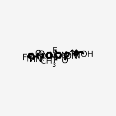 C[C@H](NC(=O)c1ccc(F)nc1)C(=O)N1CCN(c2c(F)cc(N3C[C@H](Cn4cc(CO)nn4)OC3=O)cc2F)CC1